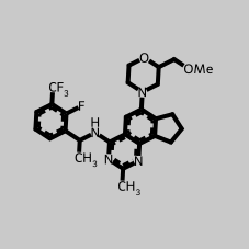 COCC1CN(c2cc3c(NC(C)c4cccc(C(F)(F)F)c4F)nc(C)nc3c3c2CCC3)CCO1